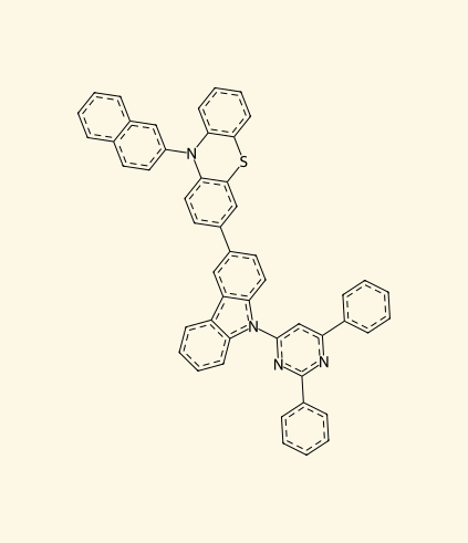 c1ccc(-c2cc(-n3c4ccccc4c4cc(-c5ccc6c(c5)Sc5ccccc5N6c5ccc6ccccc6c5)ccc43)nc(-c3ccccc3)n2)cc1